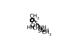 CNC.CNC(=S)NCCSCc1cccc(C)c1